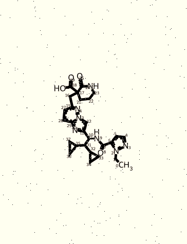 CCn1nccc1C(=O)N[C@H](c1cn2nc(CC3(C(=O)O)CCCNC3=O)ccc2n1)C(C1CC1)C1CC1